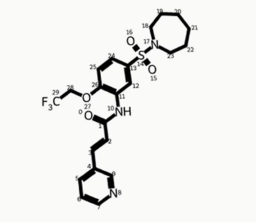 O=C(C=Cc1cccnc1)Nc1cc(S(=O)(=O)N2CCCCCC2)ccc1OCC(F)(F)F